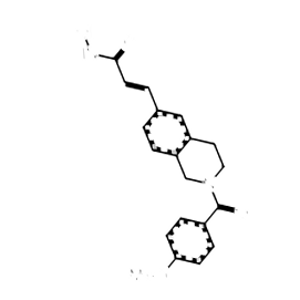 COc1ccc(C(=O)N2CCc3cc(/C=C/C(=O)NO)ccc3C2)cc1